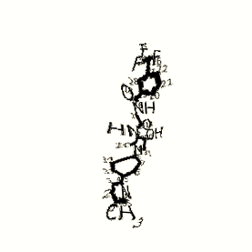 Cc1ccc(C2CCC(N3C[C@H](NC(=O)CNC(=O)c4cccc(C(F)(F)F)c4)[C@@H](O)C3)CC2)nc1